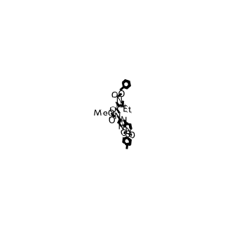 CC[C@@H]1CN(C(=O)OCc2ccccc2)C[C@@H]1C(=O)CN(C(=O)OC)c1cnc2c(ccn2S(=O)(=O)c2ccc(C)cc2)n1